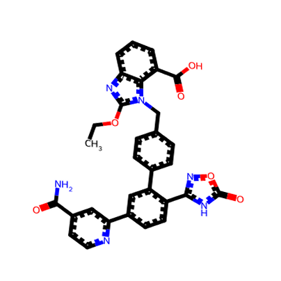 CCOc1nc2cccc(C(=O)O)c2n1Cc1ccc(-c2cc(-c3cc(C(N)=O)ccn3)ccc2-c2noc(=O)[nH]2)cc1